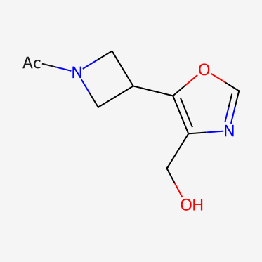 CC(=O)N1CC(c2ocnc2CO)C1